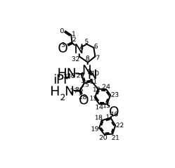 C=CC(=O)N1CCCC(n2nc(-c3ccc(Oc4ccccc4)cc3)c(C(N)=O)c2NC(C)C)C1